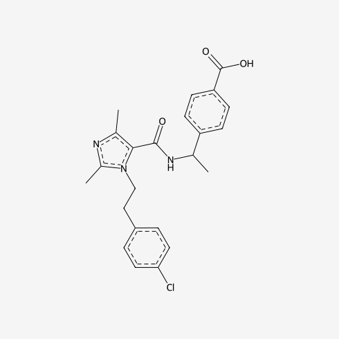 Cc1nc(C)n(CCc2ccc(Cl)cc2)c1C(=O)NC(C)c1ccc(C(=O)O)cc1